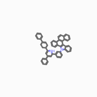 C1=C(c2ccccc2)C=C(C2CC=C(c3ccccc3)CC2)NC1c1cccc(-n2c3ccccc3c3c4c5ccccc5ccc4c4ccccc4c32)c1